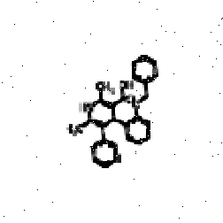 CC1=C(C(=O)O)C(c2ccccc2OCc2ccccc2)C(c2cccnc2)=C(C)N1